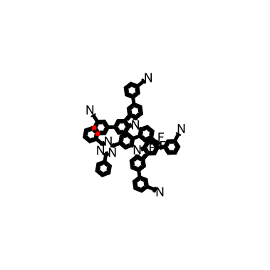 N#Cc1cccc(-c2ccc3c(c2)c2cc(-c4cccc(C#N)c4)ccc2n3-c2ccc(C(F)(F)F)cc2-c2ccc(-c3nc(-c4ccccc4)nc(-c4ccccc4)n3)cc2-n2c3ccc(-c4cccc(C#N)c4)cc3c3cc(-c4cccc(C#N)c4)ccc32)c1